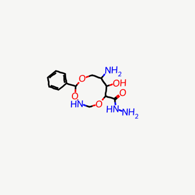 NNC(=O)C1OCNOC(c2ccccc2)OCC(N)C1O